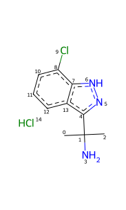 CC(C)(N)c1n[nH]c2c(Cl)cccc12.Cl